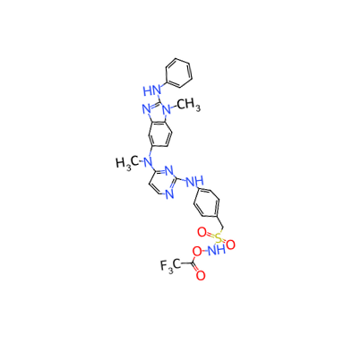 CN(c1ccc2c(c1)nc(Nc1ccccc1)n2C)c1ccnc(Nc2ccc(CS(=O)(=O)NOC(=O)C(F)(F)F)cc2)n1